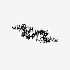 COC(=O)N[C@H](C(=O)N1CCC[C@H]1c1nc(-c2cnc(C3=CC=C(c4cnc([C@@H]5CCCN5C(=O)[C@@H](NC(=O)OC)[C@@H](C)OC)[nH]4)C(F)C3)nc2)c[nH]1)[C@@H](C)OC